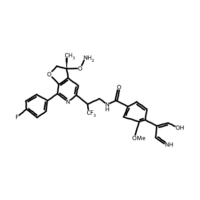 COc1cc(C(=O)NCC(c2cc3c(c(-c4ccc(F)cc4)n2)OC[C@]3(C)ON)C(F)(F)F)ccc1/C(C=N)=C/O